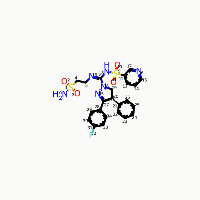 NS(=O)(=O)CCN=C(NS(=O)(=O)c1cccnc1)N1C[C@@H](c2ccccc2)C(c2ccc(F)cc2)=N1